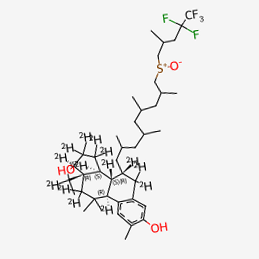 [2H]C1([2H])C([2H])([2H])[C@]([2H])(O)[C@@]2(C([2H])(C)C)C([2H])([2H])C(C)(C)[C@]3([2H])c4cc(C)c(O)cc4C([2H])([2H])[C@@]([2H])(CC(C)CC(C)CC(C)CC(C)C[S+]([O-])CC(C)CC(F)(F)C(F)(F)F)[C@@]3([2H])[C@]12[2H]